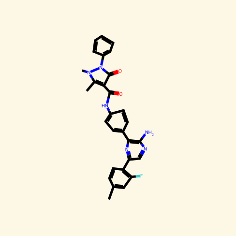 Cc1ccc(-c2cnc(N)c(-c3ccc(NC(=O)c4c(C)n(C)n(-c5ccccc5)c4=O)cc3)n2)c(F)c1